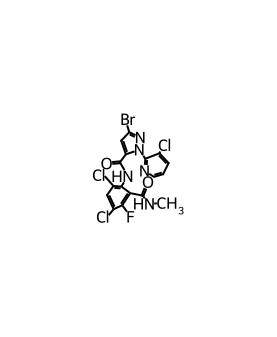 CNC(=O)c1c(F)c(Cl)cc(Cl)c1NC(=O)c1cc(Br)nn1-c1ncccc1Cl